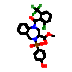 COC(=O)C1CN(C(=O)c2c(Cl)cccc2C(F)(F)F)c2ccccc2CN1S(=O)(=O)c1ccc(O)cc1